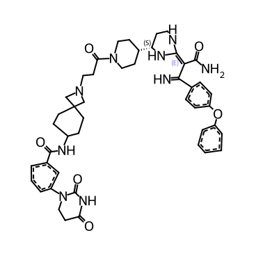 N=C(/C(C(N)=O)=C1/NCC[C@@H](C2CCN(C(=O)CCN3CC4(CCC(NC(=O)c5cccc(N6CCC(=O)NC6=O)c5)CC4)C3)CC2)N1)c1ccc(Oc2ccccc2)cc1